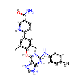 Cc1cc(-c2ccc(C(N)=O)cn2)cc(C)c1Oc1nc(Nc2ccc(C#N)cc2)nc2[nH]cnc12